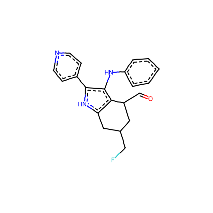 O=CC1CC(CF)Cc2[nH]c(-c3ccncc3)c(Nc3ccccc3)c21